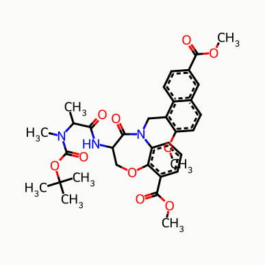 COC(=O)c1ccc2c(CN3C(=O)C(NC(=O)C(C)N(C)C(=O)OC(C)(C)C)COc4c(C(=O)OC)cccc43)c(OC)ccc2c1